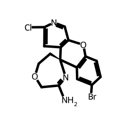 NC1=N[C@@]2(CCOC1)c1cc(Br)ccc1Oc1cnc(Cl)cc12